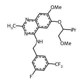 COCC(Oc1cc2c(NCc3cc(F)cc(C(F)(F)F)c3)nc(C)nc2cc1OC)C(C)C